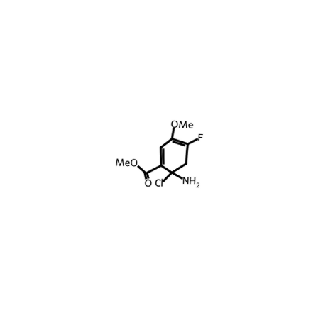 COC(=O)C1=CC(OC)=C(F)CC1(N)Cl